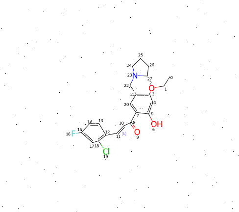 CCOc1cc(O)c(C(=O)/C=C/c2ccc(F)cc2Cl)cc1CN1CCCC1